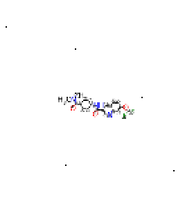 CN(C)C(=O)C1CCC(NC(=O)c2cnc3cc(OC(F)F)ccc3c2)CC1